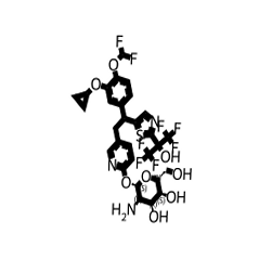 N[C@H]1[C@H](Oc2ccc(CC(c3ccc(OC(F)F)c(OC4CC4)c3)c3cnc(C(O)(C(F)(F)F)C(F)(F)F)s3)cn2)O[C@H](CO)[C@@H](O)[C@@H]1O